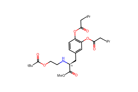 COC(=O)[C@H](Cc1ccc(OC(=O)CC(C)C)c(OC(=O)CC(C)C)c1)NCCOC(=O)C(C)(C)C